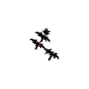 CCCCC1=C(c2cc(C)c(CCCC)c(C)c2)[N+](=[N-])C(c2cc(C)c(CCCC)c(C)c2)=C1.CCCCC1=C(c2cc(C)c(CCCC)c(C)c2)[N+](=[N-])C(c2cc(C)c(CCCC)c(C)c2)=C1.CCCCCC1=C(c2cc(CC)c(CCCC)c(CC)c2)[N+](=[N-])C(c2cc(CC)c(CCCC)c(CC)c2)=C1.CC[N](C)[Ni][N](C)CC.C[CH2][Pd][CH2]C